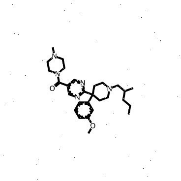 CCCC(C)CN1CCC(c2cccc(OC)c2)(c2ncc(C(=O)N3CCN(C)CC3)cn2)CC1